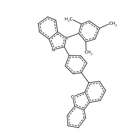 Cc1cc(C)c(-n2c(-c3ccc(-c4cccc5c4oc4ccccc45)cc3)nc3ccccc32)c(C)c1